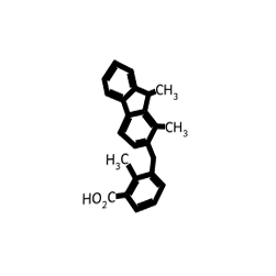 Cc1c(Cc2ccc3c(c2C)C(C)c2ccccc2-3)cccc1C(=O)O